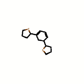 C1=C[C](C2CCCS2)CC(C2CCCS2)=C1